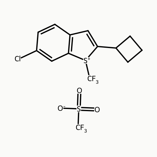 FC(F)(F)[s+]1c(C2CCC2)cc2ccc(Cl)cc21.O=S(=O)([O-])C(F)(F)F